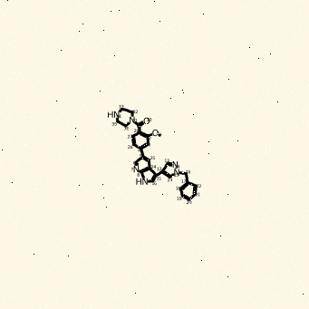 COc1cc(-c2cnc3[nH]cc(-c4cnn(Cc5ccccc5)c4)c3c2)ccc1C(=O)N1CCNCC1